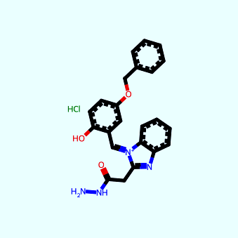 Cl.NNC(=O)CC1=Nc2ccccc2[N+]1=Cc1cc(OCc2ccccc2)ccc1O